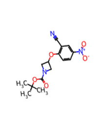 CC(C)(C)OC(=O)N1CC(Oc2ccc([N+](=O)[O-])cc2C#N)C1